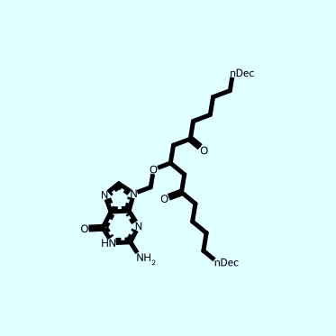 CCCCCCCCCCCCCCC(=O)CC(CC(=O)CCCCCCCCCCCCCC)OCn1cnc2c(=O)[nH]c(N)nc21